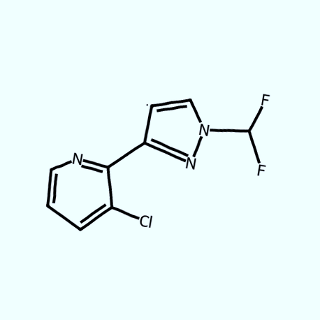 FC(F)n1c[c]c(-c2ncccc2Cl)n1